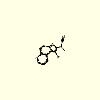 CC(C#N)c1sc2ccc3ncccc3c2c1Br